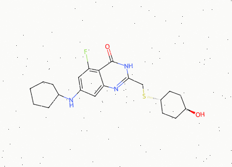 O=c1[nH]c(CS[C@H]2CC[C@H](O)CC2)nc2cc(NC3CCCCC3)cc(F)c12